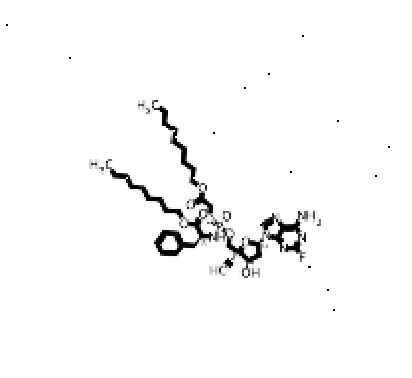 C#C[C@]1(COP(=O)(N[C@@H](Cc2ccccc2)C(=O)OCCCCCCCCC)OCC(=O)OCCCCCCCCC)O[C@@H](n2cnc3c(N)nc(F)nc32)C[C@@H]1O